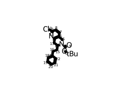 CC(C)(C)OC(=O)N1Cc2ccc(Cl)nc2CC1CCc1ccccc1